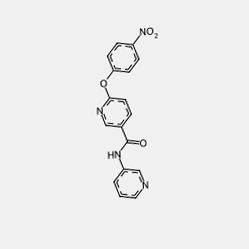 O=C(Nc1cccnc1)c1ccc(Oc2ccc([N+](=O)[O-])cc2)nc1